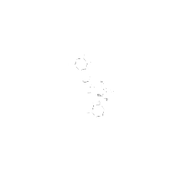 CC(C)c1cccc(OC(=O)N(C)[S+]([O-])N(C)S(=O)(=O)c2ccccc2)c1